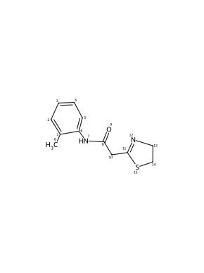 Cc1ccccc1NC(=O)CC1=NCCS1